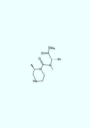 COC(=O)[C@H](C(C)C)N(C)C(=O)N1CCNC[C@H]1C